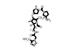 C[C@@H](NC(=O)Cn1nnnc1C(=O)O)[C@H]1C(=O)N2C(C(=O)O)=C(S[C@@H]3CN[C@H](C(=O)N4CCC(N)C4)C3)[C@H](C)[C@H]12